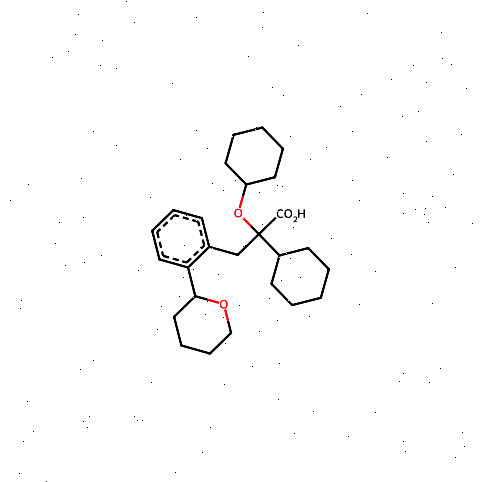 O=C(O)C(Cc1ccccc1C1CCCCO1)(OC1CCCCC1)C1CCCCC1